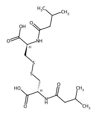 CC(C)CC(=O)N[C@@H](CSSC[C@H](NC(=O)CC(C)C)C(=O)O)C(=O)O